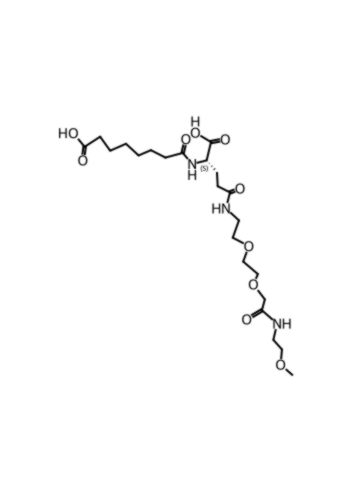 COCCNC(=O)COCCOCCNC(=O)CC[C@H](NC(=O)CCCCCCC(=O)O)C(=O)O